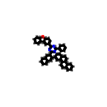 c1ccc(-c2nc(-c3ccc4oc5ccccc5c4c3)nc(-c3cc4ccccc4cc3-c3ccc4ccc5c6ccccc6ccc5c4c3)n2)cc1